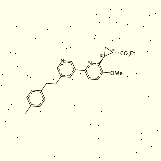 CCOC(=O)[C@H]1C[C@@H]1c1nc(-c2cncc(CCc3ccc(C)cc3)c2)ccc1OC